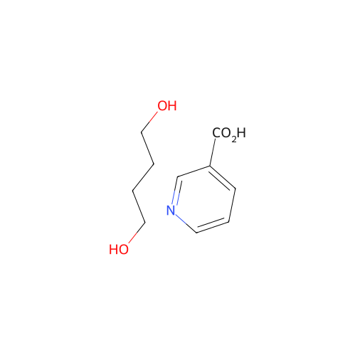 O=C(O)c1cccnc1.OCCCCO